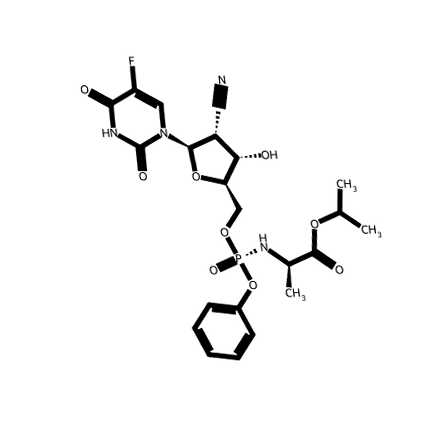 CC(C)OC(=O)[C@@H](C)N[P@](=O)(OC[C@H]1O[C@@H](n2cc(F)c(=O)[nH]c2=O)[C@H](C#N)[C@@H]1O)Oc1ccccc1